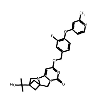 CC(C)(O)C12CN3c4cc(OCc5ccc(Oc6ccnc(C(F)(F)F)c6)c(F)c5)nc(=O)n4CC3(C1)C2